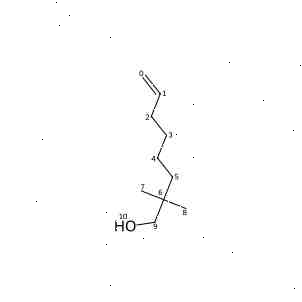 C=CCCCCC(C)(C)CO